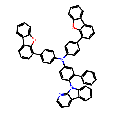 c1ccc(-c2cc(N(c3ccc(-c4cccc5c4oc4ccccc45)cc3)c3ccc(-c4cccc5c4oc4ccccc45)cc3)ccc2-n2c3ccccc3c3cccnc32)cc1